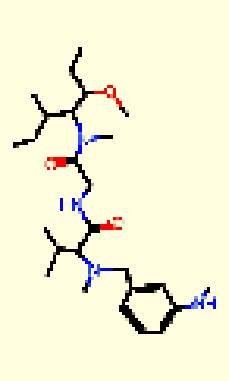 CCC(C)C(C(CC)OC)N(C)C(=O)CNC(=O)C(C(C)C)N(C)Cc1cccc(NC)c1